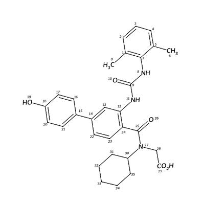 Cc1cccc(C)c1NC(=O)Nc1cc(-c2ccc(O)cc2)ccc1C(=O)N(CC(=O)O)C1CCCCC1